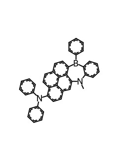 CN1c2ccccc2B(c2ccccc2)c2ccc3ccc4c(N(c5ccccc5)c5ccccc5)ccc5cc1c2c3c54